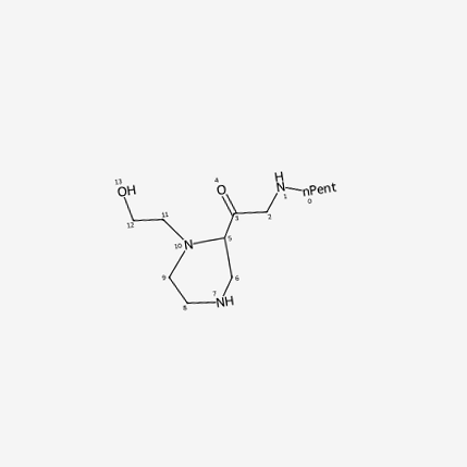 CCCCCNCC(=O)C1CNCCN1CCO